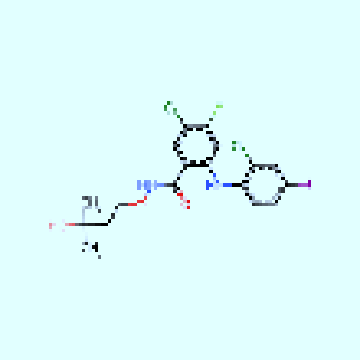 CC(C)(O)CCONC(=O)c1cc(Cl)c(F)cc1Nc1ccc(I)cc1Cl